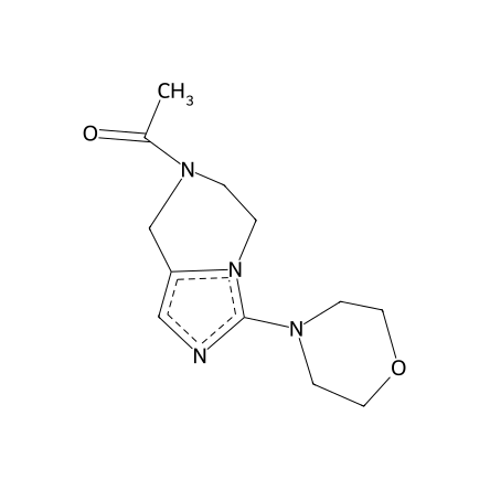 CC(=O)N1CCn2c(cnc2N2CCOCC2)C1